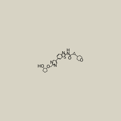 O=C(Nc1nc2ccc(-c3cnc(CO[C@H]4CCC[C@@H]4O)nc3)cc2s1)C1CC1C1CCOCC1